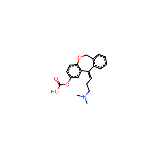 CN(C)CC/C=C1/c2ccccc2COc2ccc(OC(=O)O)cc21